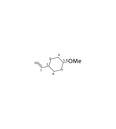 [CH]=CC1CCC(OC)CC1